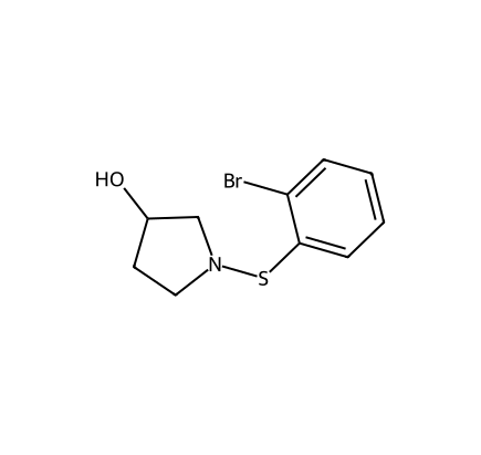 OC1CCN(Sc2ccccc2Br)C1